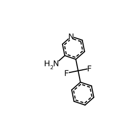 Nc1cnccc1C(F)(F)c1ccccc1